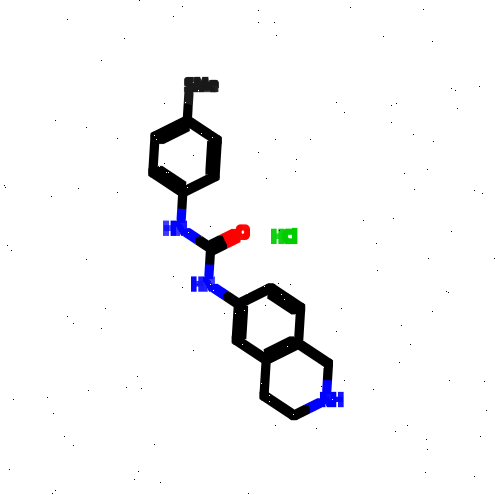 CSc1ccc(NC(=O)Nc2ccc3c(c2)CCNC3)cc1.Cl